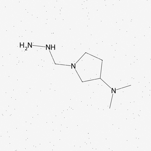 CN(C)C1CCN(CNN)C1